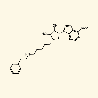 CNc1ncnc2c1ccn2[C@@H]1C[C@H](CCCCCNCCc2ccccc2)[C@@H](O)[C@H]1O